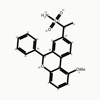 COc1cccc2c1-c1ccc(C(C)S(N)(=O)=O)cc1C(c1ccccc1)O2